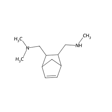 CNCC1C2C=CC(C2)C1CN(C)C